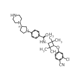 CC1(C)[C@H](NC(=O)c2ccc(N3CC[C@@H](N4CCNCC4)C3)cc2)C(C)(C)[C@H]1Oc1ccc(C#N)c(Cl)c1